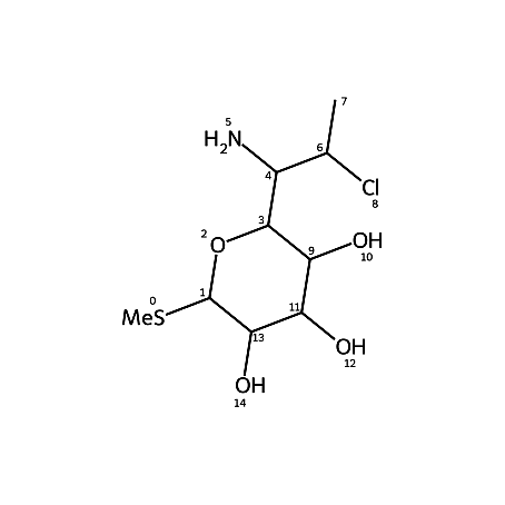 CSC1OC(C(N)C(C)Cl)C(O)C(O)C1O